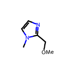 COCc1nccn1C